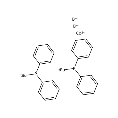 CC(C)(C)P(c1ccccc1)c1ccccc1.CC(C)(C)P(c1ccccc1)c1ccccc1.[Br-].[Br-].[Co+2]